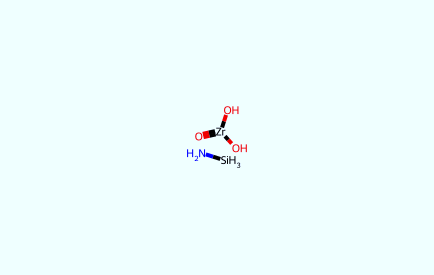 N[SiH3].[O]=[Zr]([OH])[OH]